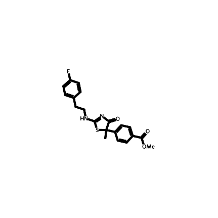 COC(=O)c1ccc(C2(C)SC(NCCc3ccc(F)cc3)=NC2=O)cc1